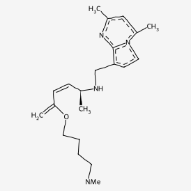 C=C(/C=C\[C@H](C)NCc1ccn2c(C)cc(C)nc12)OCCCCNC